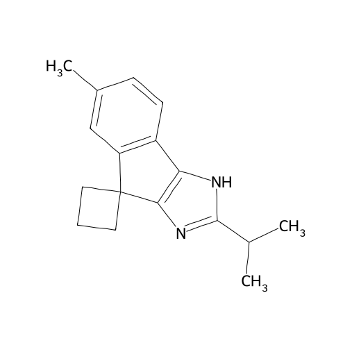 Cc1ccc2c(c1)C1(CCC1)c1nc(C(C)C)[nH]c1-2